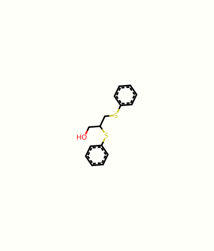 OCC(CSc1ccccc1)Sc1ccccc1